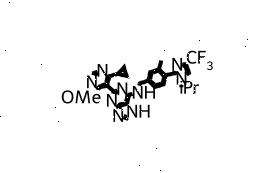 COc1ncnc(C2CC2)c1-c1nc(NCc2ccc(-c3nc(C(F)(F)F)cn3C(C)C)c(C)c2)c2[nH]cnc2n1